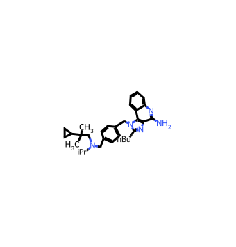 CCCCc1nc2c(N)nc3ccccc3c2n1Cc1ccc(CN(CC(C)(C)C2CC2)C(C)C)cc1